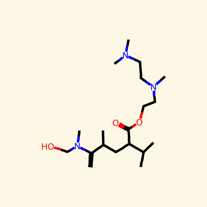 C=C(C(C)CC(C(=O)OCCN(C)CCN(C)C)C(C)C)N(C)CO